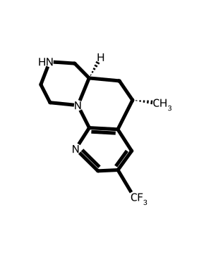 C[C@H]1C[C@@H]2CNCCN2c2ncc(C(F)(F)F)cc21